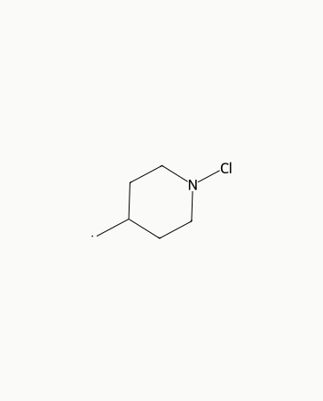 [CH2]C1CCN(Cl)CC1